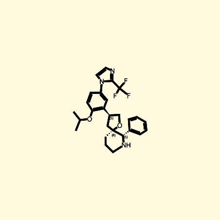 CC(C)Oc1ccc(-n2ccnc2C(F)(F)F)cc1[C@H]1CO[C@]2(CCCN[C@H]2c2ccccc2)C1